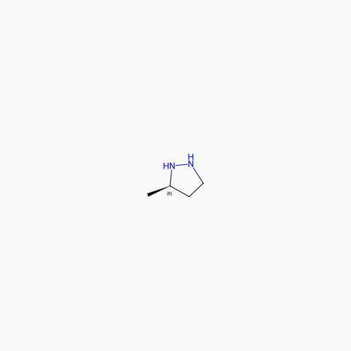 C[C@@H]1CCNN1